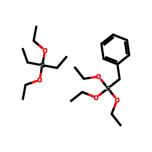 CCO[Si](CC)(CC)OCC.CCO[Si](Cc1ccccc1)(OCC)OCC